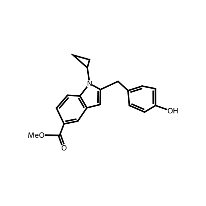 COC(=O)c1ccc2c(c1)cc(Cc1ccc(O)cc1)n2C1CC1